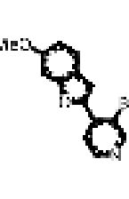 COc1ccc2cc(-c3ccncc3Br)oc2c1